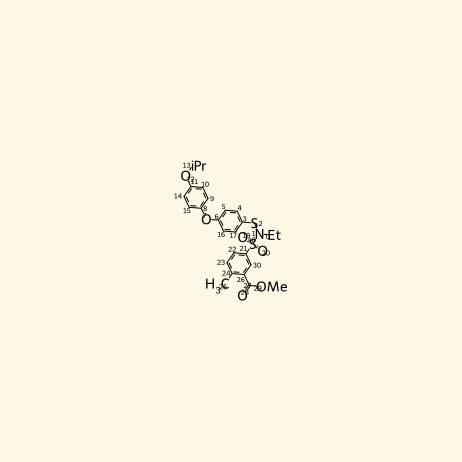 CCN(Sc1ccc(Oc2ccc(OC(C)C)cc2)cc1)S(=O)(=O)c1ccc(C)c(C(=O)OC)c1